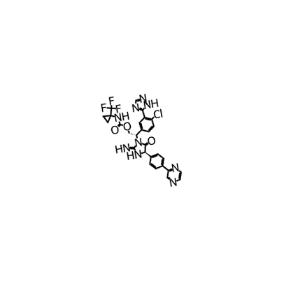 N=C1N[C@H](c2ccc(-c3cnccn3)cc2)C(=O)N1[C@H](COC(=O)NC1(C(F)(F)F)CC1)c1ccc(Cl)c(-c2ncn[nH]2)c1